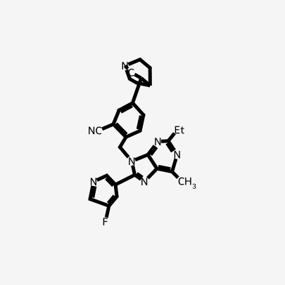 CCc1nc(C)c2nc(-c3cncc(F)c3)n(Cc3ccc(C4CN5CCC4CC5)cc3C#N)c2n1